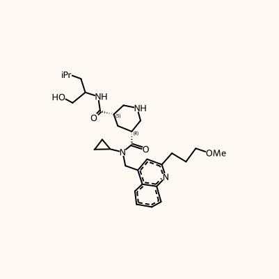 COCCCc1cc(CN(C(=O)[C@H]2CNC[C@@H](C(=O)NC(CO)CC(C)C)C2)C2CC2)c2ccccc2n1